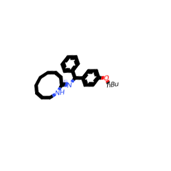 CCCCOc1ccc(C(/N=C2\CCCCCCCCN2)c2ccccc2)cc1